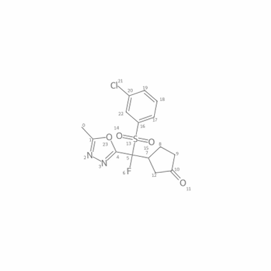 Cc1nnc(C(F)(C2CCC(=O)C2)S(=O)(=O)c2cccc(Cl)c2)o1